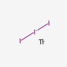 I[I-]I.[Tl]